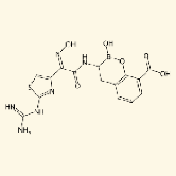 N=C(N)Nc1nc(C(=NO)C(=O)NC2Cc3cccc(C(=O)O)c3OB2O)cs1